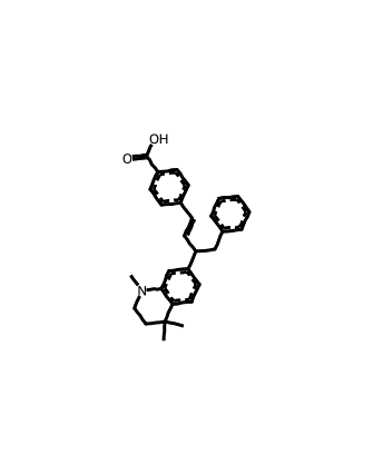 CN1CCC(C)(C)c2ccc(C(/C=C/c3ccc(C(=O)O)cc3)Cc3ccccc3)cc21